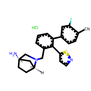 Cl.N#Cc1ccc(-c2cccc(CN3C[C@]4(N)CC[C@H]3C4)c2-c2ccns2)cc1F